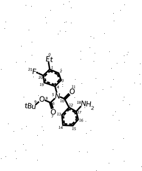 CCc1ccc(N(C(=O)OC(C)(C)C)C(=O)c2ccccc2N)cc1F